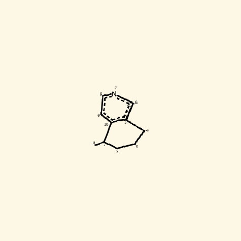 CC1CCCc2cnccc21